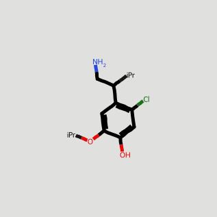 CC(C)Oc1cc(C(CN)C(C)C)c(Cl)cc1O